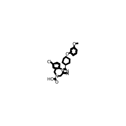 COc1cccc(O[C@H]2CC[C@H](c3nnc4n3-c3ccc(Cl)cc3CN(C(=O)O)C4)CC2)c1